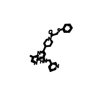 Cc1cnn2c(NCc3cccnc3)cc(C3CCN(C(=O)CSc4ccccc4)CC3)nc12